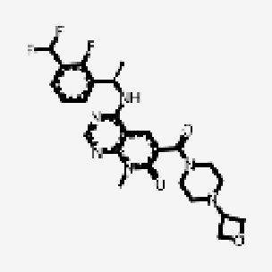 C[C@@H](Nc1ncnc2c1cc(C(=O)N1CCN(C3COC3)CC1)c(=O)n2C)c1cccc(C(F)F)c1F